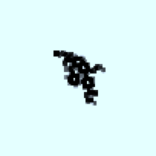 CNC(=O)c1cnc2cc(OC)c(-c3ccc(C(=O)OC)nc3)cc2c1Nc1ccccc1